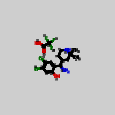 CC1(C)CC(C(N)c2cc(Cl)c(Cl)cc2O)CCN1.O=C(O)C(F)(F)F